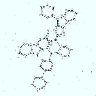 c1ccc(-c2ccc(N(c3ccccc3-c3cccc4c3oc3c5ccccc5n(-c5ccccc5)c43)c3cccc4c3sc3ccccc34)cc2)cc1